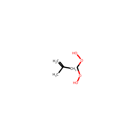 C=C(C)C.OOCOO